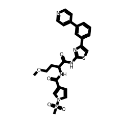 COCCC(NC(=O)c1ccn(S(C)(=O)=O)c1)C(=O)Nc1nc(-c2cccc(-c3ccncc3)c2)cs1